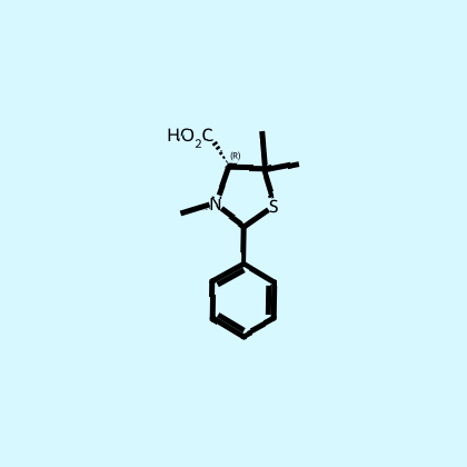 CN1C(c2ccccc2)SC(C)(C)[C@H]1C(=O)O